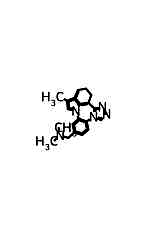 Cc1cn2c3c1=CCCC=3c1nncn1-c1ccc(CN(C)C)cc1-2